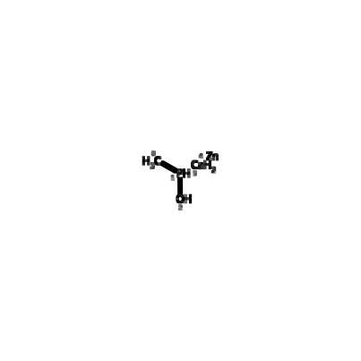 CPO.[CaH2].[Zn]